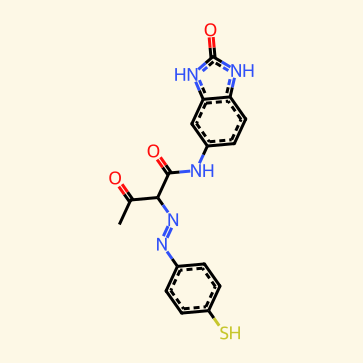 CC(=O)C(N=Nc1ccc(S)cc1)C(=O)Nc1ccc2[nH]c(=O)[nH]c2c1